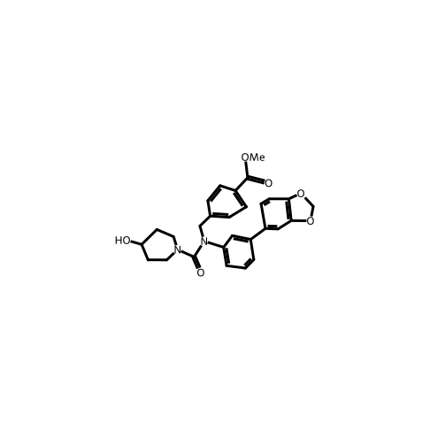 COC(=O)c1ccc(CN(C(=O)N2CCC(O)CC2)c2cccc(-c3ccc4c(c3)OCO4)c2)cc1